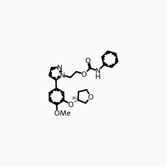 COc1ccc(-c2ccnn2CCOC(=O)Nc2ccccc2)cc1O[C@@H]1CCOC1